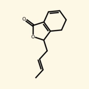 CC=CCC1OC(=O)C2=C1CCC=C2